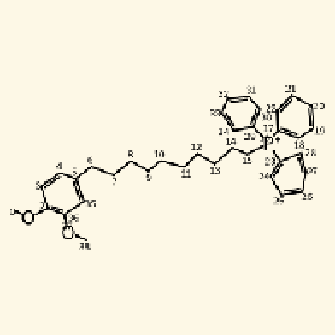 COc1ccc(CCCCCCCCCC[P+](c2ccccc2)(c2ccccc2)c2ccccc2)cc1OC